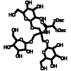 CCCCCCCCCCC(CCCCCCCCCC)C(=O)NC(COC1OC(CO)C(O)C(O)C1O)(COC1OC(CO)C(O)C(O)C1O)COC1OC(CO)C(O)C(O)C1O